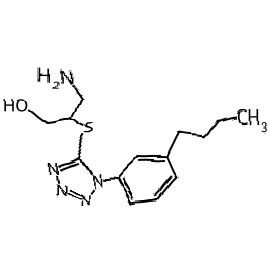 CCCCc1cccc(-n2nnnc2SC(CN)CO)c1